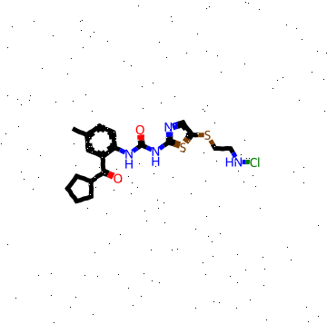 Cc1ccc(NC(=O)Nc2ncc(SCCNCl)s2)c(C(=O)C2CCCC2)c1